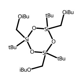 CC(C)COC[Si]1(C(C)(C)C)O[Si](COCC(C)C)(C(C)(C)C)O[Si](COCC(C)C)(C(C)(C)C)O1